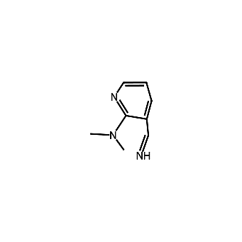 CN(C)c1ncccc1C=N